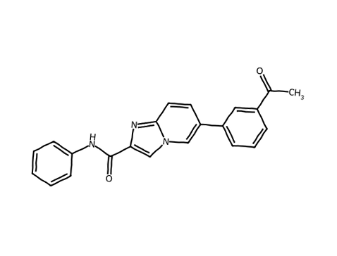 CC(=O)c1cccc(-c2ccc3nc(C(=O)Nc4ccccc4)cn3c2)c1